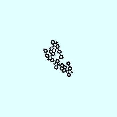 CC(C)c1ccc(-c2cccc(-c3ccc(-c4ccc(C(C)(C)C)c(N(c5ccccc5)C5C=Cc6ccc7c(N(c8ccccc8)c8cc(-c9ccccc9)ccc8C(C)(C)C)ccc8c7c6C5CC8)c4)cc3)c2)cc1N(C1=CC=CCC1)c1ccc2ccc3c(N(c4ccccc4)c4cc(-c5ccccc5)ccc4C(C)C)ccc4ccc1c2c43